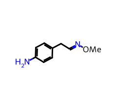 CON=CCc1ccc(N)cc1